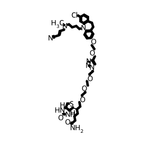 CN(C/C=C/C#N)CCCCN1c2ccc(OCCOCc3cn(CCOCCOCCOCCC(CCCC(N)=O)[C@@H]4SC[C@@H]5NC(=O)N[C@@H]54)nn3)cc2CCc2ccc(Cl)cc21